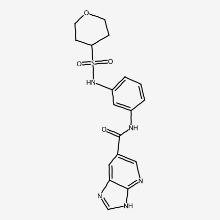 O=C(Nc1cccc(NS(=O)(=O)C2CCOCC2)c1)c1cnc2[nH]cnc2c1